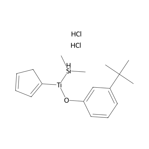 C[SiH](C)[Ti]([O]c1cccc(C(C)(C)C)c1)[C]1=CC=CC1.Cl.Cl